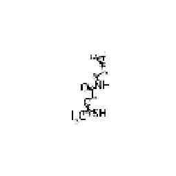 CC(S)OCC(=O)NCCC1CC1